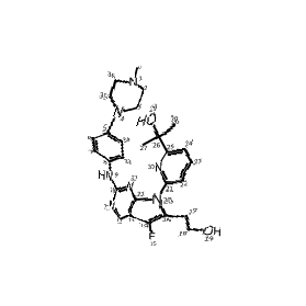 CN1CCN(c2ccc(Nc3ncc4c(F)c(CCO)n(-c5cccc(C(C)(C)O)n5)c4n3)cc2)CC1